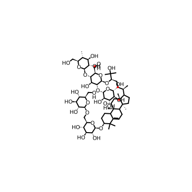 C[C@@H]1[C@@H](O)[C@H](O)[C@@H](O[C@H]2[C@H](O)[C@@H](O[C@@H]3O[C@H](CO)[C@@H](O)[C@H](O)[C@H]3O)[C@H](O[C@H](CC[C@@H](C)C3CC[C@@]4(C)C5CC=C6C(CC[C@H](O[C@@H]7O[C@H](CO[C@@H]8O[C@H](CO)[C@@H](O)[C@H](O)[C@H]8O)[C@@H](O)[C@H](O)[C@H]7O)C6(C)C)[C@]5(C)[C@H](O)C[C@]34C)C(C)(C)O)O[C@@H]2CO)O[C@H]1CO